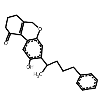 CC(CCCc1ccccc1)c1cc2c(cc1O)C1=C(CCCC1=O)CO2